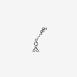 COCN(COC)c1ccc(OCCCCSOOO)cc1